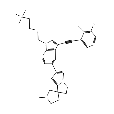 Cc1c(N)cncc1C#Cc1cn(COCC[Si](C)(C)C)c2ncc(-c3cc4n(n3)CCC43CCN(C(=O)O)C3)cc12